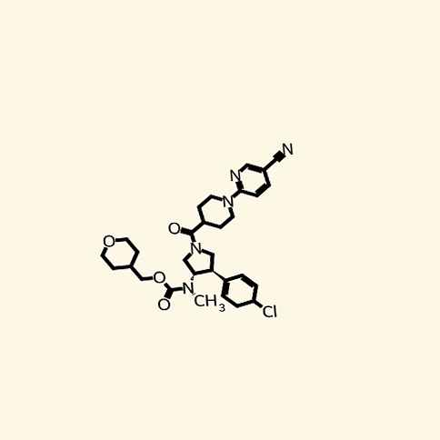 CN(C(=O)OCC1CCOCC1)[C@@H]1CN(C(=O)C2CCN(c3ccc(C#N)cn3)CC2)C[C@H]1C1=CCC(Cl)C=C1